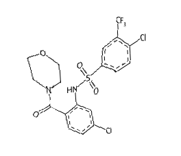 O=C(c1ccc(Cl)cc1NS(=O)(=O)c1ccc(Cl)c(C(F)(F)F)c1)N1CCOCC1